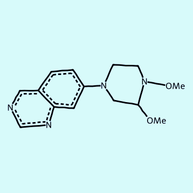 COC1CN(c2ccc3cncnc3c2)CCN1OC